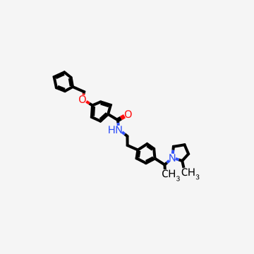 CC1CCCN1C(C)c1ccc(CCNC(=O)c2ccc(OCc3ccccc3)cc2)cc1